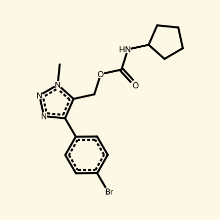 Cn1nnc(-c2ccc(Br)cc2)c1COC(=O)NC1CCCC1